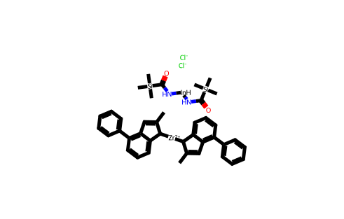 CC1=Cc2c(-c3ccccc3)cccc2[CH]1[Zr+2][CH]1C(C)=Cc2c(-c3ccccc3)cccc21.C[Si](C)(C)C(=O)[NH][InH][NH]C(=O)[Si](C)(C)C.[Cl-].[Cl-]